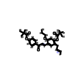 C/C=C/Cc1cc(/C=C/C(=O)c2ccc(OC(=O)C(C)(C)C)cc2)c(OCCC)cc1OC(=O)C(C)(C)C